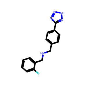 Fc1ccccc1CNCc1ccc(-c2nn[nH]n2)cc1